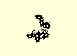 c1ccc2c(-c3cc4oc5ccccc5c4c4ccccc34)nc(-n3c4ccccc4c4c5sc6ccccc6c5ccc43)nc2c1